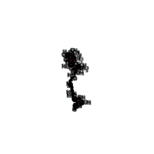 CC(C)(C)OC(=O)NC1C(O)[C@H](OC2[C@@H](O)[C@H](O[C@H]3OC(CNC(=O)CCCc4cn(CCCNC(=S)Nc5ccc(-c6c7ccc(=O)cc-7oc7cc(O)ccc67)c(C(=O)O)c5)nn4)[C@@H](O)[C@H](O)C3O)C(NC(=O)OC(C)(C)C)C[C@H]2NC(=O)OC(C)(C)C)O[C@H](CO)[C@@H]1O